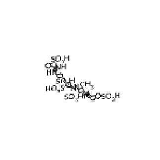 Cc1cc(-n2n3c4ccc5cc(S(=O)(=O)O)ccc5c4n23)c(S(=O)(=O)O)cc1N=Nc1ccc(C=Cc2ccc(Nn3[nH]c4cc(S(=O)(=O)O)c5ccccc5c43)cc2S(=O)(=O)O)c(S(=O)(=O)O)c1